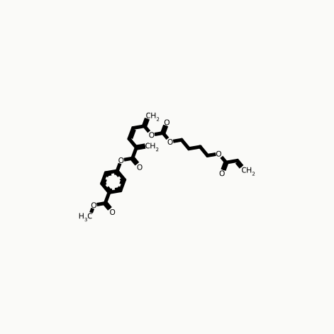 C=CC(=O)OCCCCOC(=O)OC(=C)/C=C\C(=C)C(=O)Oc1ccc(C(=O)OC)cc1